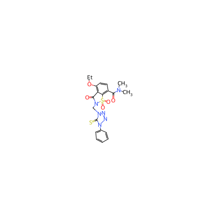 CCOc1ccc(C(=O)N(C)C)c2c1C(=O)N(Cn1nnn(-c3ccccc3)c1=S)S2(=O)=O